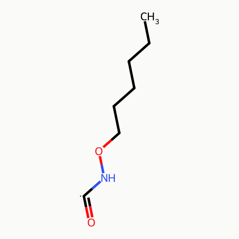 CCCCCCON[C]=O